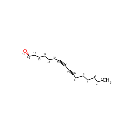 CCCCCCC#CC#CCCCCC[C]=O